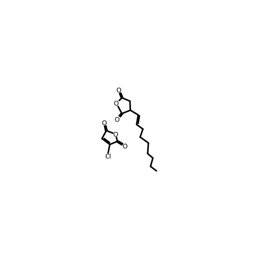 CCCCCCCC=CC1CC(=O)OC1=O.O=C1C=C(Cl)C(=O)O1